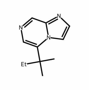 CCC(C)(C)c1cncc2nccn12